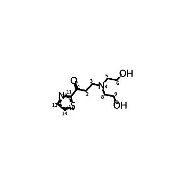 O=C(CCN(CCO)CCO)c1nccs1